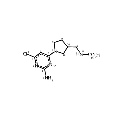 Nc1nc(Cl)cc(N2CCC(CNC(=O)O)C2)n1